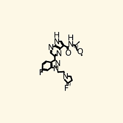 COC[C@H](C)NC(=O)c1c[nH]c2ncc(-c3nn(CCN4CC[C@H](F)C4)c4cc(F)ccc34)nc12